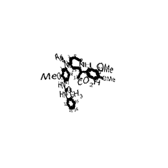 COc1cc(N(C(C)=O)C2=CC=CNC(C(CC(=O)O)c3ccc(OC)c(OC)c3)=C2)ccc1NC(=O)Nc1ccccc1C